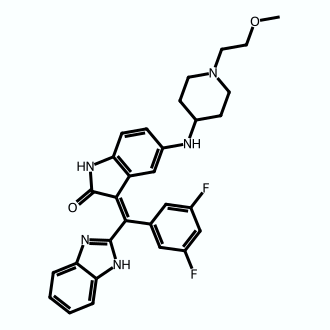 COCCN1CCC(Nc2ccc3c(c2)/C(=C(\c2cc(F)cc(F)c2)c2nc4ccccc4[nH]2)C(=O)N3)CC1